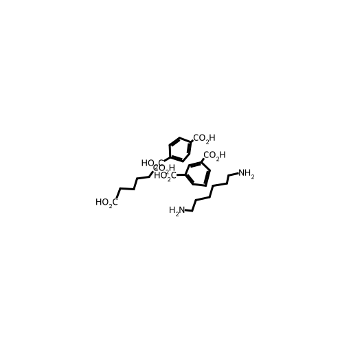 NCCCCCCN.O=C(O)CCCCC(=O)O.O=C(O)c1ccc(C(=O)O)cc1.O=C(O)c1cccc(C(=O)O)c1